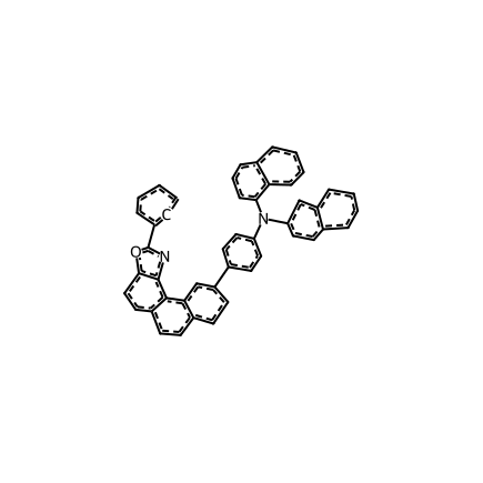 c1ccc(-c2nc3c(ccc4ccc5ccc(-c6ccc(N(c7ccc8ccccc8c7)c7cccc8ccccc78)cc6)cc5c43)o2)cc1